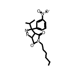 CCCCCCN1C(=O)C2N=NC(c3cccc([N+](=O)[O-])c3)(C(C)C)C2C1=O